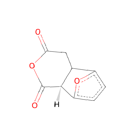 O=C1CC2c3ccc(o3)[C@H]2C(=O)O1